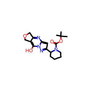 CC(C)(C)OC(=O)N1CCCCC1c1cc2nc3c(c(O)n2n1)COC3